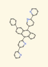 c1ccc(-c2ccc3c(-c4ccc(-c5ccccn5)cn4)c4ccccc4c(-c4ccc(-c5ccccn5)nc4)c3c2)cc1